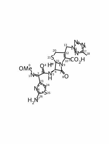 CO/N=C(\C(=O)N[C@@H]1C(=O)N2C(C(=O)O)=C(Cn3nnc(C)n3)CS[C@H]12)c1csc(N)n1